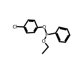 CCOP(Oc1ccc(Cl)cc1)c1ccccc1